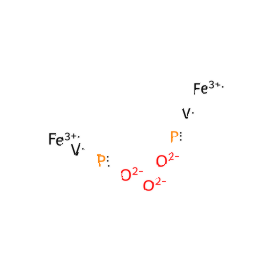 [Fe+3].[Fe+3].[O-2].[O-2].[O-2].[P].[P].[V].[V]